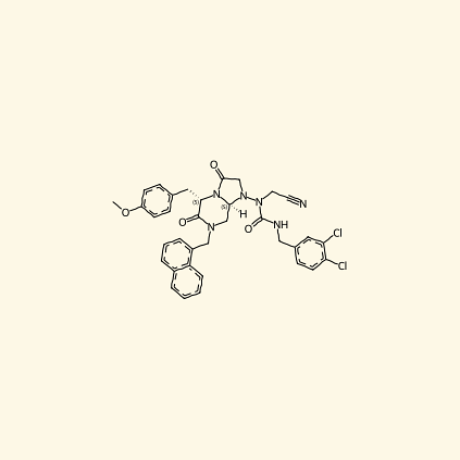 COc1ccc(C[C@H]2C(=O)N(Cc3cccc4ccccc34)C[C@H]3N2C(=O)CN3N(CC#N)C(=O)NCc2ccc(Cl)c(Cl)c2)cc1